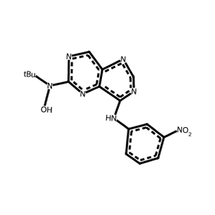 CC(C)(C)N(O)c1ncc2ncnc(Nc3cccc([N+](=O)[O-])c3)c2n1